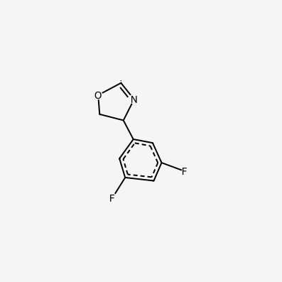 Fc1cc(F)cc(C2CO[C]=N2)c1